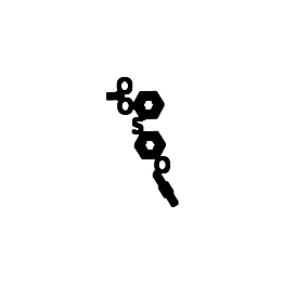 CC#CCOc1ccc(Sc2ccccc2OC(C)=O)cc1